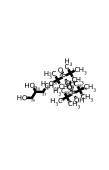 CC(C)(C)P(=O)(O)C(C)(C)C.CC(C)(C)P(=O)(O)C(C)(C)C.CCC(O)CO